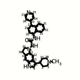 CN1CCC(c2c[nH]c3cc4c(cc23)N(NC(=O)Nc2ccc(-c3ccncc3)c3ccccc23)CC4)CC1